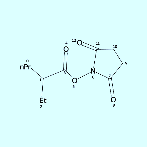 CCCC(CC)C(=O)ON1C(=O)CCC1=O